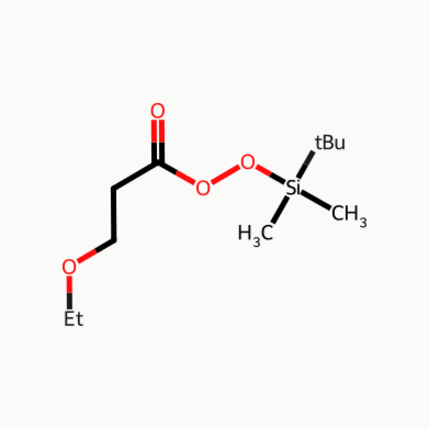 CCOCCC(=O)OO[Si](C)(C)C(C)(C)C